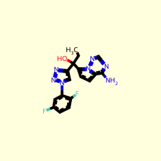 CCC(O)(c1cn(-c2cc(F)ccc2F)nn1)c1ccc2c(N)ncnn12